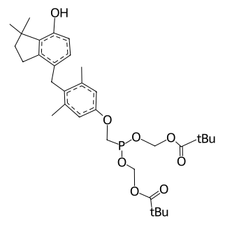 Cc1cc(OCP(OCOC(=O)C(C)(C)C)OCOC(=O)C(C)(C)C)cc(C)c1Cc1ccc(O)c2c1CCC2(C)C